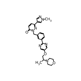 CC(COc1cnc(-c2cccc(Cn3nc(-c4cnn(C)c4)ccc3=O)c2)nc1)N1CCOCC1